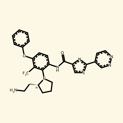 NCC[C@H]1CCCN1c1c(NC(=O)c2csc(-c3ccnnc3)n2)ccc(Oc2ccccc2)c1C(F)(F)F